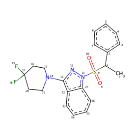 CC(c1ccccc1)S(=O)(=O)n1nc(N2CCC(F)(F)CC2)c2ccccc21